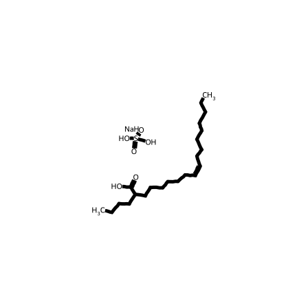 CCCCCCCC/C=C\CCCCCCC(CCCC)C(=O)O.O=S(=O)(O)O.[NaH]